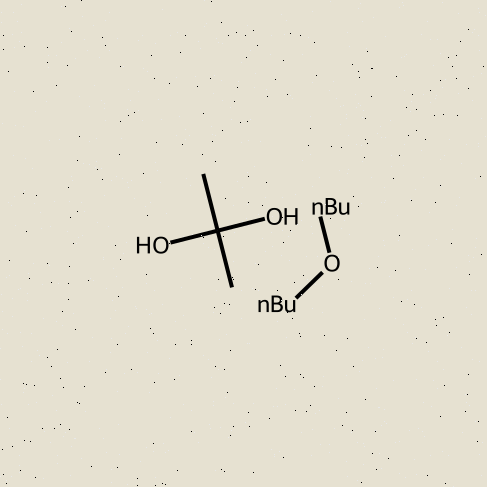 CC(C)(O)O.CCCCOCCCC